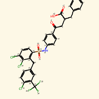 O=C(CC(Cc1ccccc1)C(=O)O)c1ccc(NS(=O)(=O)c2ccc(Cl)c(Cl)c2Cc2ccc(Cl)c(C(F)(F)F)c2)cc1